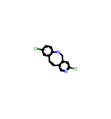 Clc1ccc2c(c1)/C=C\c1cnc(Cl)cc1C[N]2